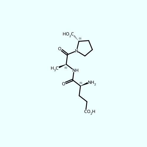 C[C@H](NC(=O)[C@@H](N)CCC(=O)O)C(=O)N1CCC[C@H]1C(=O)O